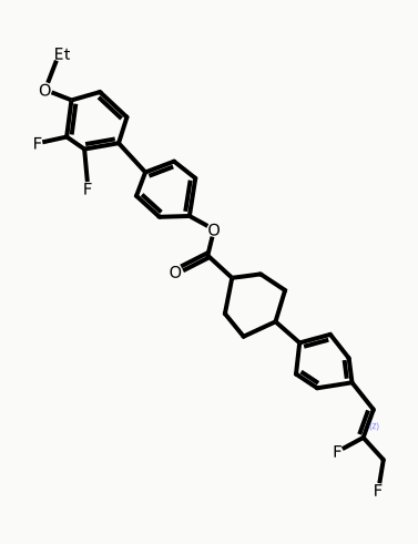 CCOc1ccc(-c2ccc(OC(=O)C3CCC(c4ccc(/C=C(\F)CF)cc4)CC3)cc2)c(F)c1F